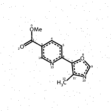 COC(=O)c1ccc(-c2ocnc2C)nc1